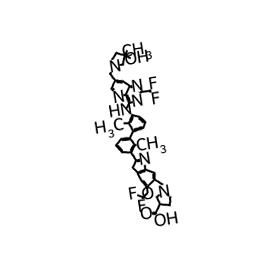 Cc1c(Nc2nc(C(F)F)nc3cc(CN4CCC(C)(O)C4)cnc23)cccc1-c1cccc(C2=Nc3cc(CN4CCC(C(=O)O)C4)c(OC(F)F)cc3C2)c1C